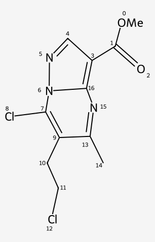 COC(=O)c1cnn2c(Cl)c(CCCl)c(C)nc12